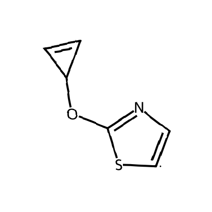 [c]1cnc(OC2C=C2)s1